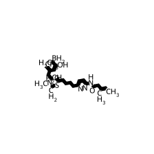 BC(=C)/C(O)=C\C(=C/C)CC(=C)N(C)C(=C)SC(=C)CCCCc1ccc(NC(=O)C/C(C)=C/C)nn1